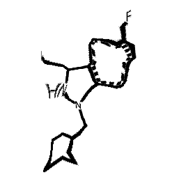 Fc1ccc2c(c1)C(I)NN2CC1CCC1